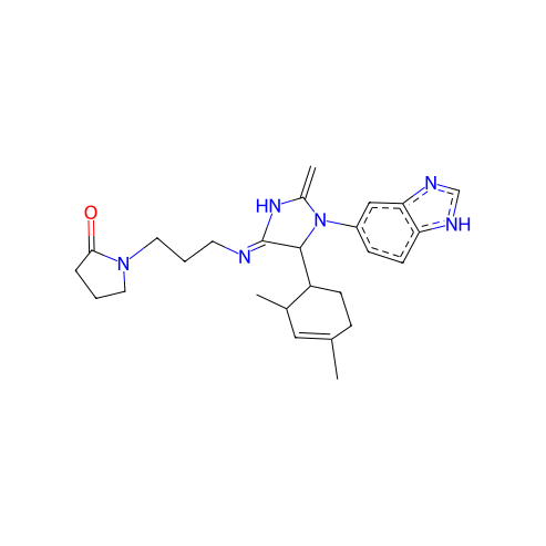 C=C1N/C(=N\CCCN2CCCC2=O)C(C2CCC(C)=CC2C)N1c1ccc2[nH]cnc2c1